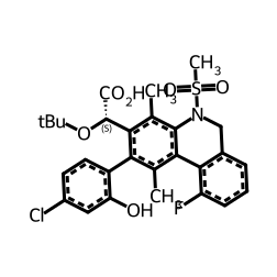 Cc1c(-c2ccc(Cl)cc2O)c([C@H](OC(C)(C)C)C(=O)O)c(C)c2c1-c1c(F)cccc1CN2S(C)(=O)=O